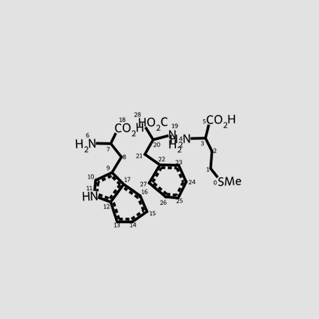 CSCCC(N)C(=O)O.NC(Cc1c[nH]c2ccccc12)C(=O)O.NC(Cc1ccccc1)C(=O)O